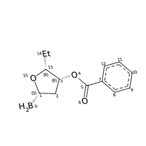 B[C@H]1C[C@@H](OC(=O)c2ccccc2)[C@@H](CC)O1